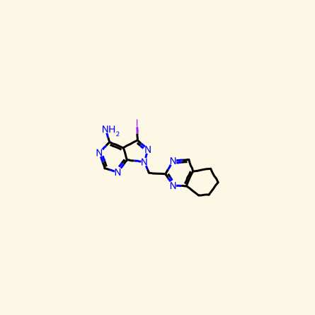 Nc1ncnc2c1c(I)nn2Cc1ncc2c(n1)CCCC2